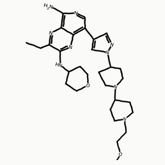 CCc1nc2c(N)ncc(-c3cnn(C4CCN(C5CCN(CCOC)CC5)CC4)c3)c2nc1NC1CCOCC1